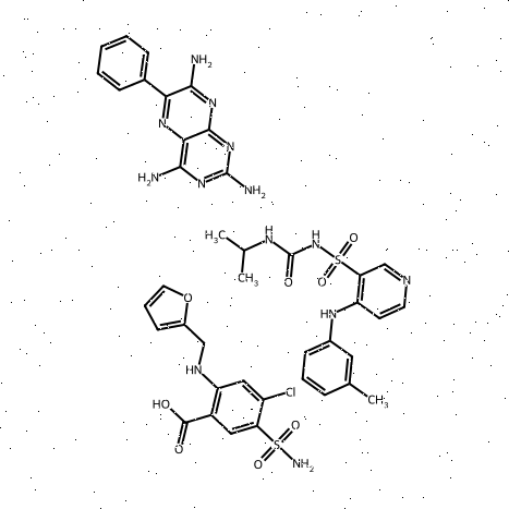 Cc1cccc(Nc2ccncc2S(=O)(=O)NC(=O)NC(C)C)c1.NS(=O)(=O)c1cc(C(=O)O)c(NCc2ccco2)cc1Cl.Nc1nc(N)c2nc(-c3ccccc3)c(N)nc2n1